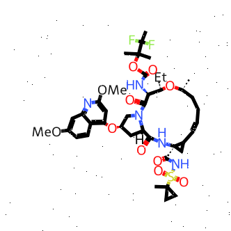 CC[C@@H]1O[C@H](C)CC/C=C\C2C[C@@]2(C(=O)NS(=O)(=O)C2(C)CC2)NC(=O)[C@@H]2C[C@@H](Oc3cc(OC)nc4cc(OC)ccc34)CN2C(=O)[C@H]1NC(=O)OC(C)(C)C(C)(F)F